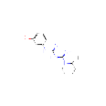 CC1CCCCN1C(=N)NC(=N)Nc1cccc(OF)c1